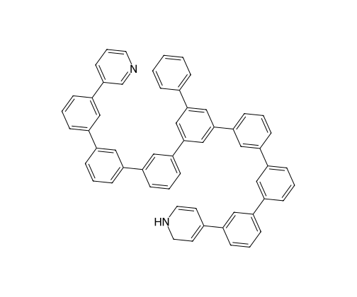 C1=CC(c2cccc(-c3cccc(-c4cccc(-c5cc(-c6ccccc6)cc(-c6cccc(-c7cccc(-c8cccc(-c9cccnc9)c8)c7)c6)c5)c4)c3)c2)=CCN1